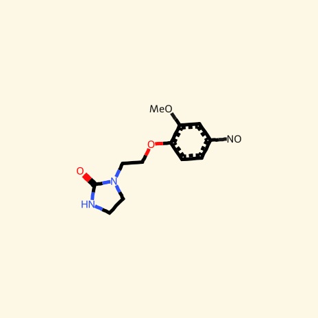 COc1cc(N=O)ccc1OCCN1CCNC1=O